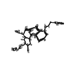 COCCOc1cccc2c3n(nc12)CC(C(C)(C)C)n1cc(C(=O)O)c(=O)cc1-3